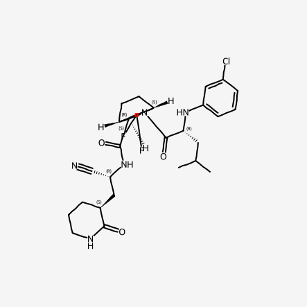 CC(C)C[C@@H](Nc1cccc(Cl)c1)C(=O)N1[C@H]2CC[C@@H]([C@@H]1C(=O)N[C@@H](C#N)C[C@@H]1CCCNC1=O)C(F)(F)C2